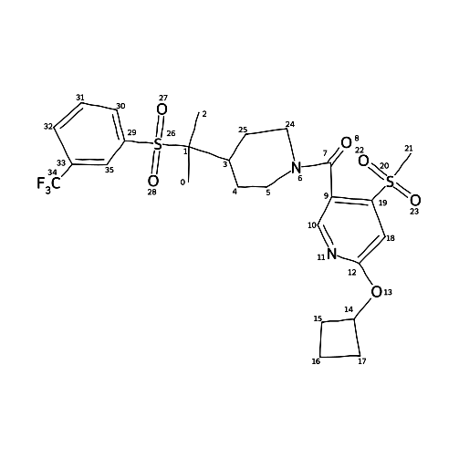 CC(C)(C1CCN(C(=O)c2cnc(OC3CCC3)cc2S(C)(=O)=O)CC1)S(=O)(=O)c1cccc(C(F)(F)F)c1